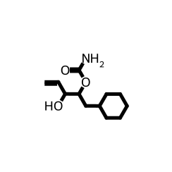 C=CC(O)C(CC1CCCCC1)OC(N)=O